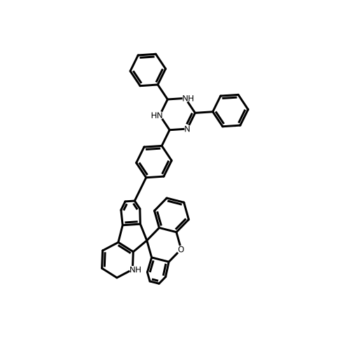 C1=CC2=C(NC1)C1(c3ccccc3Oc3ccccc31)c1cc(-c3ccc(C4N=C(c5ccccc5)NC(c5ccccc5)N4)cc3)ccc12